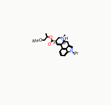 COCC(C)OC(=O)[C@@H]1C=C2c3cccc4c3c(cn4C(C)C)C[C@H]2N(C)C1